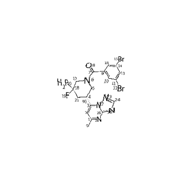 Cc1cc([C@H]2CN(C(=O)c3cc(Br)cc(Br)c3)CC(F)(P)C2)n2ncnc2n1